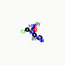 CC(C)NC(=O)Cn1c(-c2cccc(Cl)c2)nc2ccc(N3CCCN(N(C)C)CC3C(C)C)cc2c1=O